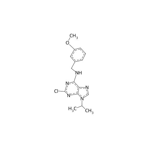 COc1cccc(CNc2nc(Cl)nc3c2ncn3C(C)C)c1